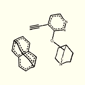 C#Cc1ccnnc1OC1CN2CCC1CC2.c1cc2cc3ccc2cc13